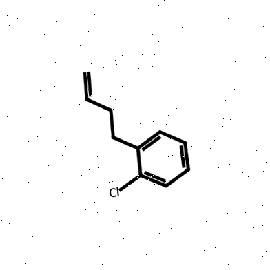 C=CCCc1ccccc1Cl